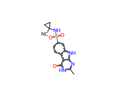 Cc1nc2[nH]c3cc(S(=O)(=O)NC4(C#N)CC4)ccc3c2c(=O)[nH]1